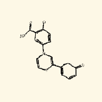 O=C1C=CC=C(C2=CN(c3ccc(Cl)c(C(=O)O)n3)C=CS2)C1